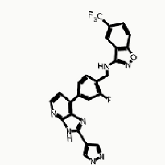 Fc1cc(-c2ccnc3[nH]c(-c4cn[nH]c4)nc23)ccc1CNc1noc2ccc(C(F)(F)F)cc12